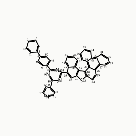 c1ccc(-c2ccc(-c3nc(-c4ccncc4)nc(-c4cc5sc6ccc7c8ccccc8c8ccccc8c7c6c5c5ccccc45)n3)cc2)cc1